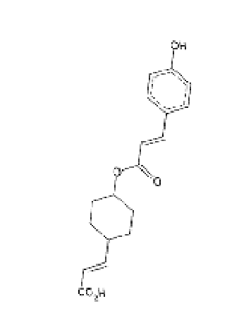 O=C(O)/C=C/C1CCC(OC(=O)/C=C/c2ccc(O)cc2)CC1